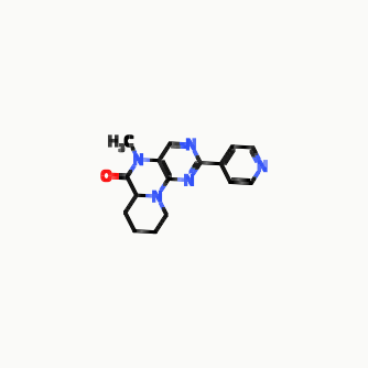 CN1C(=O)C2CCCCN2c2nc(-c3ccncc3)ncc21